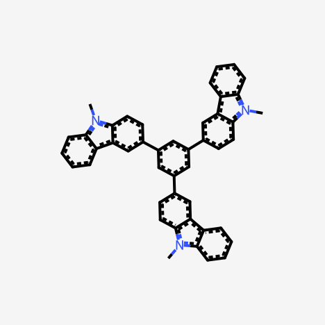 Cn1c2ccccc2c2cc(-c3cc(-c4ccc5c(c4)c4ccccc4n5C)cc(-c4ccc5c(c4)c4ccccc4n5C)c3)ccc21